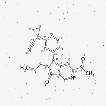 C=CCn1c(=O)c2cnc([S+](C)[O-])nc2n1-c1cccc(C2(C#N)CC2)n1